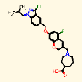 CC(C)Cn1nc(Cl)c2cc(COc3cc(F)c4c(c3)OCC(CN3CCCC(C(=O)O)CC3)=C4)ccc21